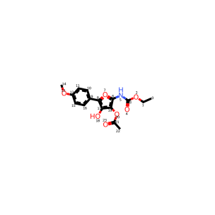 CCOC(=O)Nc1oc(-c2ccc(OC)cc2)c(O)c1OC(C)=O